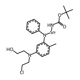 Cc1ccc(N(CCO)CCCl)cc1[N]([Sn][NH]C(=O)OC(C)(C)C)c1ccccc1